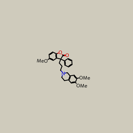 COc1ccc2c(c1)C(CCCN1CCc3cc(OC)c(OC)cc3C1)(c1ccccc1)C(=O)O2